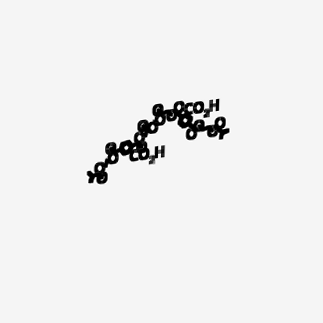 C=C(C)C(=O)OCCOC(=O)c1ccc(C(=O)OCC(=O)OCOC(=O)COC(=O)c2ccc(C(=O)OCCOC(=O)C(=C)C)cc2C(=O)O)c(C(=O)O)c1